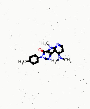 Cc1ccc(-n2cnc3c4c(N(C)C)ccnc4n(C)c3c2=O)cc1